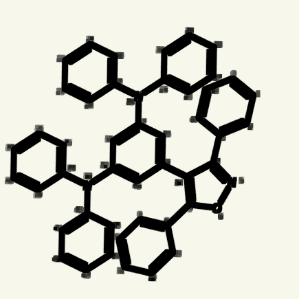 c1ccc(-c2noc(-c3ccccc3)c2-c2cc(N(c3ccccc3)c3ccccc3)cc(N(c3ccccc3)c3ccccc3)c2)cc1